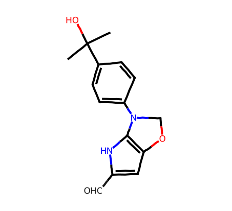 CC(C)(O)c1ccc(N2COc3cc(C=O)[nH]c32)cc1